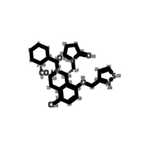 O=C(O)[C@@H]1CCCCC1C(=O)N1CCc2c(Cl)ccc(OCc3ccsn3)c2[C@H]1CN1CCCC1=O